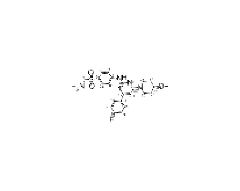 NCS(=O)(=O)c1ccc(Nc2nc(-c3ccc(F)cc3)cc(N3CCC(O)CC3)n2)cc1